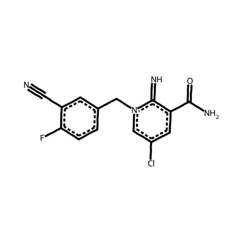 N#Cc1cc(Cn2cc(Cl)cc(C(N)=O)c2=N)ccc1F